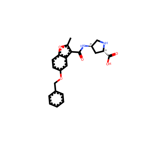 Cc1oc2ccc(OCc3ccccc3)cc2c1C(=O)N[C@H]1CN[C@H](C(=O)O)C1